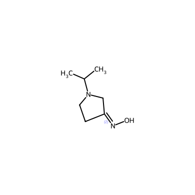 CC(C)N1CC/C(=N/O)C1